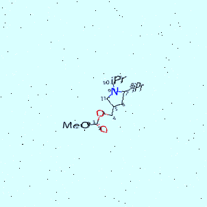 COC(=O)OCC1CC(C(C)C)N(C(C)C)C1